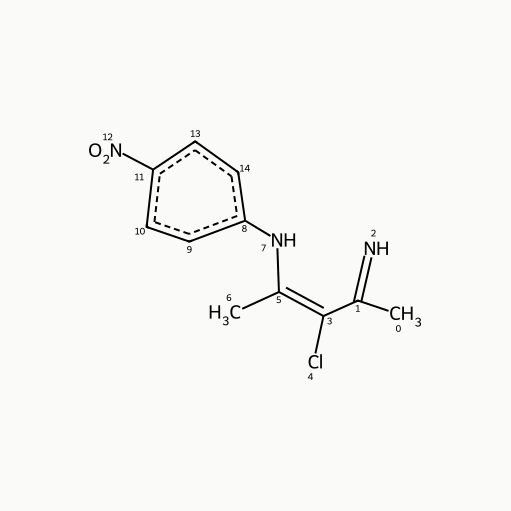 CC(=N)/C(Cl)=C(/C)Nc1ccc([N+](=O)[O-])cc1